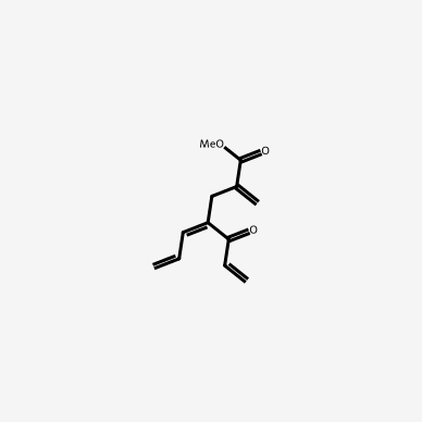 C=CC=C(CC(=C)C(=O)OC)C(=O)C=C